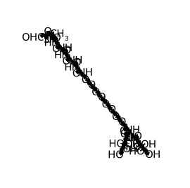 CN(CC(=O)NCC(=O)NCC(=O)NCC(=O)NCC(=O)NCC(=O)NCCOCCOCCOCCOCCOCCOCCOCCOCCC(=O)N[C@@H](CCC(=O)NC[C@H](O)[C@@H](O)[C@H](O)CCO)C(=O)NC[C@H](O)[C@@H](O)[C@H](O)CCO)C(=O)C(S)CC=O